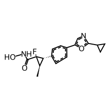 C[C@@H]1[C@@H](c2ccc(-c3cnc(C4CC4)o3)cc2)[C@]1(F)C(=O)NO